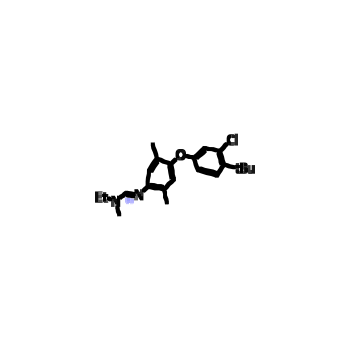 CCN(C)/C=N/c1cc(C)c(Oc2ccc(C(C)(C)C)c(Cl)c2)cc1C